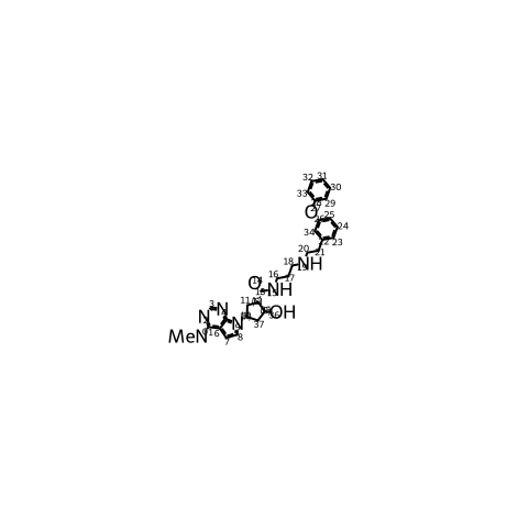 CNc1ncnc2c1ccn2[C@@H]1C[C@H](C(=O)NCCCNCCc2cccc(Oc3ccccc3)c2)[C@@H](O)C1